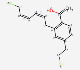 C=C(O)c1ccc(CCS)cc1C/C=C\C=C/CF